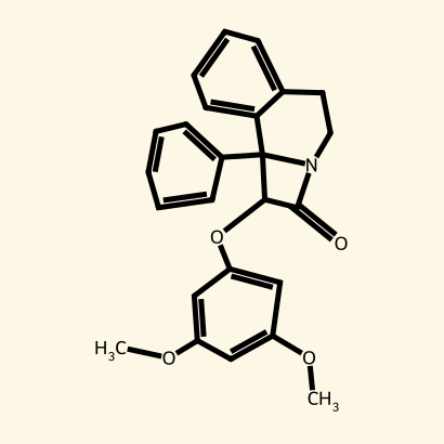 COc1cc(OC)cc(OC2C(=O)N3CCc4ccccc4C23c2ccccc2)c1